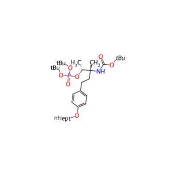 CCCCCCCOc1ccc(CC[C@@](C)(NC(=O)OC(C)(C)C)[C@@H](C)OP(=O)(OC(C)(C)C)OC(C)(C)C)cc1